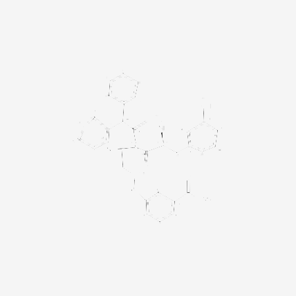 COC(=O)c1cccc(COCC(C#N)N(C(=O)C(c2ccccc2)c2ccccc2)C(=O)[C@@H](N)Cc2cccc(C)c2)c1